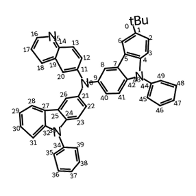 CC(C)(C)c1ccc2c(c1)c1cc(N(c3ccc4ncccc4c3)c3ccc4c(c3)c3ccccc3n4-c3ccccc3)ccc1n2-c1ccccc1